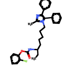 CCC(CCCCCn1c(C)nc(-c2ccccc2)c1-c1ccccc1)NC(=O)Oc1ccccc1F